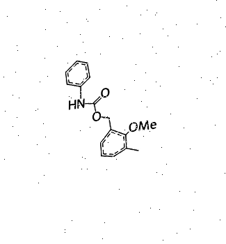 COc1c(C)cccc1COC(=O)Nc1ccccc1